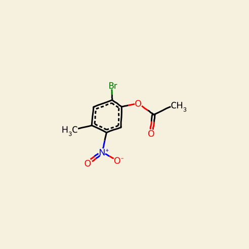 CC(=O)Oc1cc([N+](=O)[O-])c(C)cc1Br